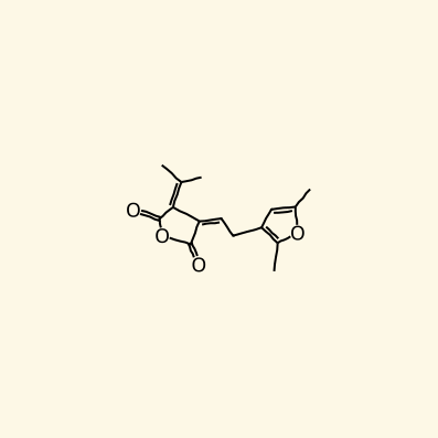 CC(C)=C1C(=O)OC(=O)C1=CCc1cc(C)oc1C